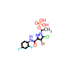 CC(OP(=O)(O)O)n1nc(C(=O)Nc2ccc(F)cc2F)c(Br)c1Cl